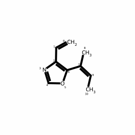 C=Cc1ncoc1/C(C)=C\C